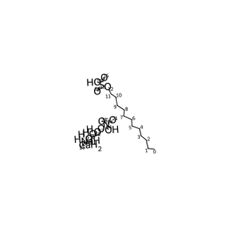 CCCCCCCCCCCCOS(=O)(=O)O.O.O.O.O.O=[N+]([O-])O.[CaH2].[NaH]